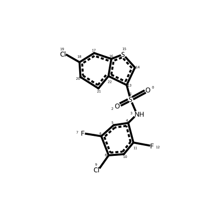 O=S(=O)(Nc1cc(F)c(Cl)cc1F)c1csc2cc(Cl)ccc12